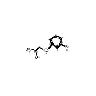 C[C@H](O)COc1cccc(Br)c1